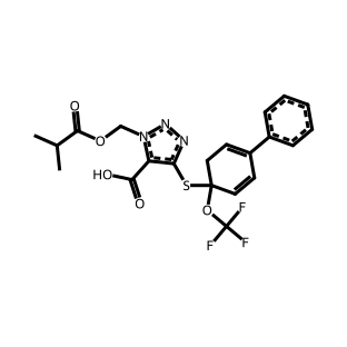 CC(C)C(=O)OCn1nnc(SC2(OC(F)(F)F)C=CC(c3ccccc3)=CC2)c1C(=O)O